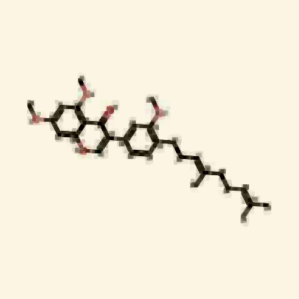 COc1cc(OC)c2c(=O)c(-c3ccc(CC/C=C(\C)CCC=C(C)C)c(OC)c3)coc2c1